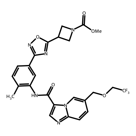 COC(=O)N1CC(c2nc(-c3ccc(C)c(NC(=O)c4cnc5ccc(COCC(F)(F)F)cn45)c3)no2)C1